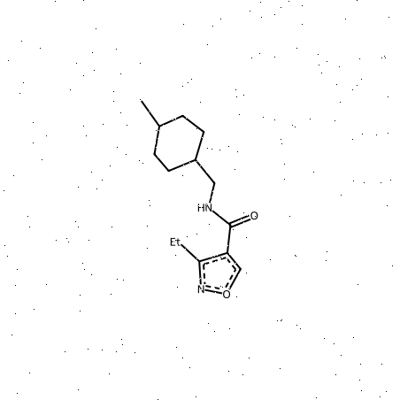 CCc1nocc1C(=O)NCC1CCC(C)CC1